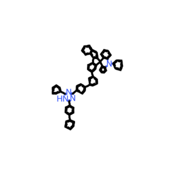 c1ccc(-c2ccc(C3=NC(c4ccc(-c5cccc(-c6ccc7c(c6)C6(c8ccccc8N(c8ccccc8)c8ccccc86)c6ccc8ccccc8c6-7)c5)cc4)=NC(c4ccccc4)N3)cc2)cc1